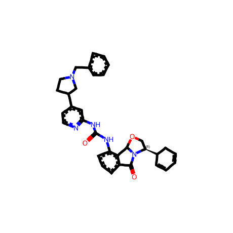 O=C(Nc1cc(C2CCN(Cc3ccccc3)C2)ccn1)Nc1cccc2c1C1OC[C@@H](C3C=CC=CC3)N1C2=O